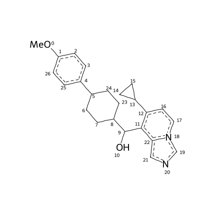 COc1ccc(C2CCC(C(O)c3c(C4CC4)ccn4cncc34)CC2)cc1